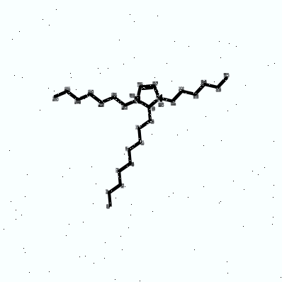 CCCCCCCCCC1N(CCCCCC)C=CN1CCCCCCC